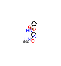 CCCCNC(=O)c1cc(NS(=O)(=O)c2ccccc2)ccn1